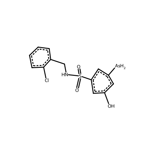 O=S(=O)(NCc1ccccc1Cl)c1cc(O)cc([AsH2])c1